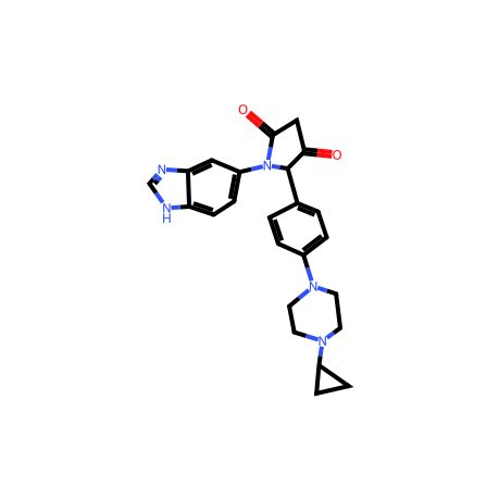 O=C1CC(=O)N(c2ccc3[nH]cnc3c2)C1c1ccc(N2CCN(C3CC3)CC2)cc1